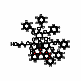 C[C@@H]1O[C@@H](O[C@H]2[C@H](OCCCO)O[C@@H]3COC(c4ccccc4)O[C@@H]3[C@@H]2O[C@H]2O[C@H](COCc3ccccc3)[C@H](OCc3ccccc3)[C@H](OCc3ccccc3)[C@H]2OCc2ccccc2)[C@@H](OCc2ccccc2)[C@H](OCc2ccccc2)[C@@H]1OCc1ccccc1